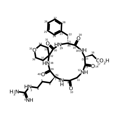 N=C(N)NCCC[C@@H]1NC(=O)CNC(=O)[C@H](CC(=O)O)NC(=O)[C@@H](Cc2ccccc2)NC(=O)C2(CCOCC2)NC1=O